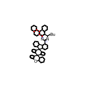 CCC(C)C(/N=C(\N=C(/C)c1ccccc1)c1cccc2c1-c1ccccc1C21c2ccccc2C2(c3ccccc3Oc3ccccc32)c2ccccc21)c1ccc(-c2ccccc2)c2ccccc12